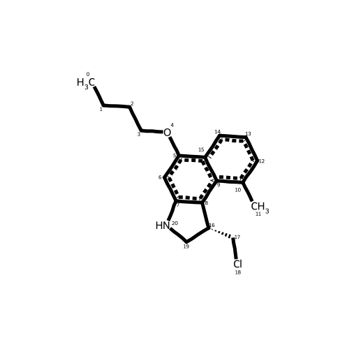 CCCCOc1cc2c(c3c(C)cccc13)[C@H](CCl)CN2